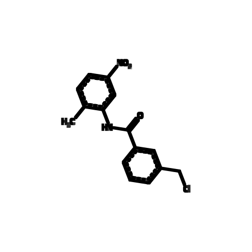 Cc1ccc([N+](=O)[O-])cc1NC(=O)c1cccc(CCl)c1